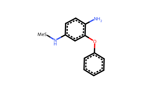 CSNc1ccc(N)c(Oc2ccccc2)c1